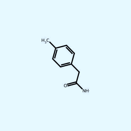 Cc1ccc(CC([NH])=O)cc1